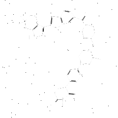 CC1CN(c2ccc(C3CCC(=O)NC3=O)cn2)CCN1CC1CCN(C(=O)c2ccc3cc(-c4n[nH]c5c4CCC(C)(C)C5)[nH]c3c2)CC1